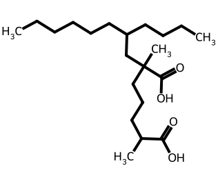 CCCCCCC(CCCC)CC(C)(CCCC(C)C(=O)O)C(=O)O